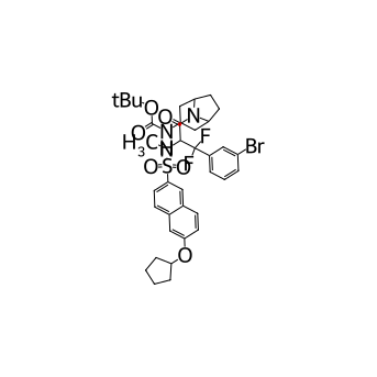 CN(C(C(=O)N1C2CCC1CC(NC(=O)OC(C)(C)C)C2)C(F)(F)c1cccc(Br)c1)S(=O)(=O)c1ccc2cc(OC3CCCC3)ccc2c1